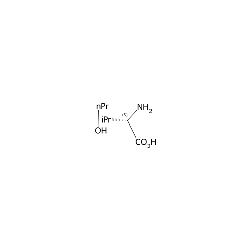 CC(C)[C@H](N)C(=O)O.CCCO